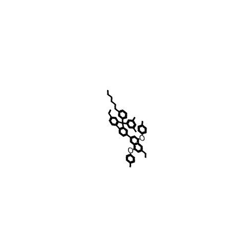 CCCCCCc1cccc(C2(c3cc(C)cc(C)c3)c3cc(CC)ccc3-c3ccc(-c4cc(Oc5ccc(C)cc5)c5cc(CC)cc(Oc6ccc(C)cc6)c5c4)cc32)c1